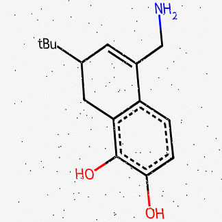 CC(C)(C)C1C=C(CN)c2ccc(O)c(O)c2C1